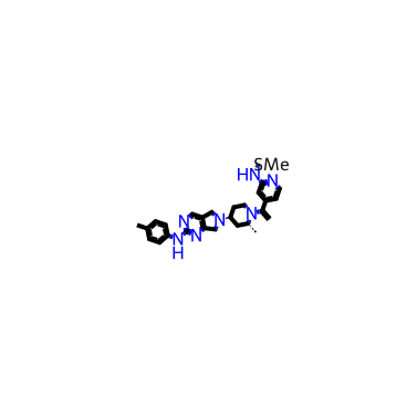 C=C(c1ccnc(NSC)c1)N1CC[C@@H](N2Cc3cnc(Nc4ccc(C)cc4)nc3C2)C[C@H]1C